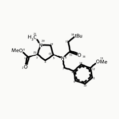 COC(=O)[C@@H]1C[C@H](N(Cc2cccc(OC)c2)C(=O)CC(C)(C)C)CN1C